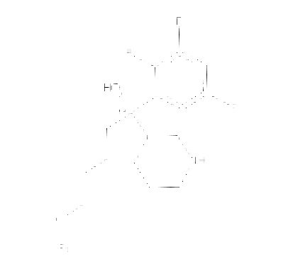 CCOCCCC[C@@](O)(c1cc(F)cc(F)c1F)C1CCCNC1